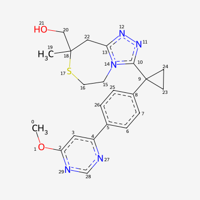 COc1cc(-c2ccc(C3(c4nnc5n4CCSC(C)(CO)C5)CC3)cc2)ncn1